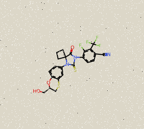 N#Cc1ccc(N2C(=O)C3(CCC3)N(c3ccc4c(c3)SC[C@@H](CO)O4)C2=S)c(F)c1C(F)(F)F